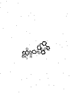 Cn1nccc1-c1cccc(CN2CC[C@@H](C(=O)N3CCC(O)(Cn4cnc5c(ccn5C)c4=O)CC3)[C@H](c3ccccc3)C2)c1